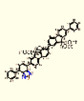 CCCCCCCCC1(CCCCCCCC)c2cc(-c3ccccc3)ccc2-c2ccc(-c3ccc4c(c3)C(CCCCCCCC)(CCCCCCCC)c3cc(-c5ccc(-c6ccccc6)c6nsnc56)ccc3-4)cc21